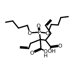 C=CCC(C(=O)O)C(CC=C)(C(=O)O)P(=O)(OCCCC)OCCCC